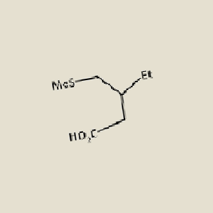 CCC(CSC)CC(=O)O